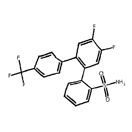 NS(=O)(=O)c1ccccc1-c1cc(F)c(F)cc1-c1ccc(C(F)(F)F)cc1